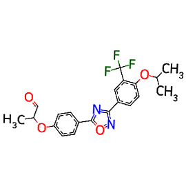 CC(C)Oc1ccc(-c2noc(-c3ccc(OC(C)C=O)cc3)n2)cc1C(F)(F)F